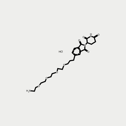 Cl.NCCOCCOCCOCCOCCCc1ccc2c(c1)C(=O)N(C1CCC(=O)NC1=O)C2=O